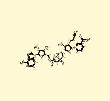 C#CCO[C@@H]1[C@H](O)[C@@H](COP(=O)(OC)OP(=O)([O-])OC[C@H]2O[C@@H](n3cnc4c(N)ncnc43)[C@H](O)[C@@H]2O)O[C@H]1[n+]1cccc(C(N)=O)c1